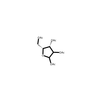 CC(=O)OC[C@H]1OC(OC(C)=O)C(OC(C)=O)[C@H]1OC(C)=O